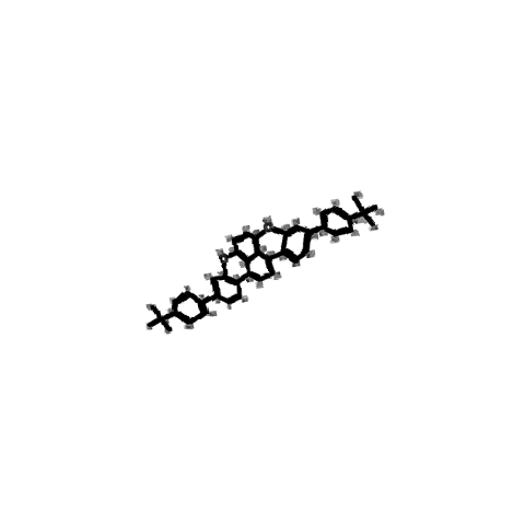 CC(C)(C)c1ccc(-c2ccc3c(c2)Oc2ccc4c5c(ccc-3c25)-c2ccc(-c3ccc(C(C)(C)C)cc3)cc2O4)cc1